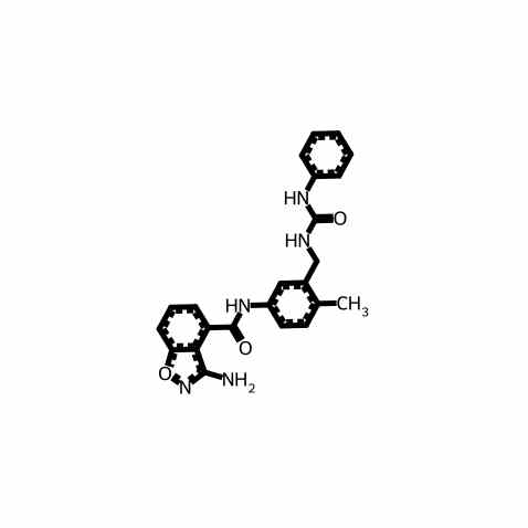 Cc1ccc(NC(=O)c2cccc3onc(N)c23)cc1CNC(=O)Nc1ccccc1